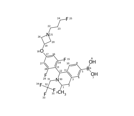 CC1Cc2cc(B(O)O)ccc2C(c2c(F)cc(OC3CN(CCCF)C3)cc2F)N1CC(F)(F)F